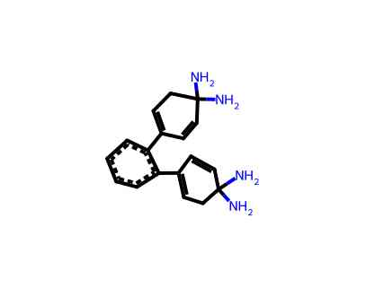 NC1(N)C=CC(c2ccccc2C2=CCC(N)(N)C=C2)=CC1